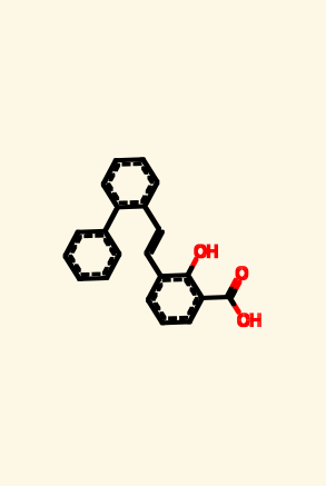 O=C(O)c1cccc(C=Cc2ccccc2-c2ccccc2)c1O